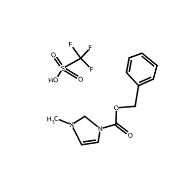 CN1C=CN(C(=O)OCc2ccccc2)C1.O=S(=O)(O)C(F)(F)F